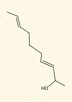 CC=CCCCC=CC(C)O